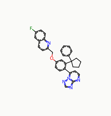 Fc1ccc2nc(COc3ccc(-c4ccnc5ncnn45)c(C4(c5ccccc5)CCCC4)c3)ccc2c1